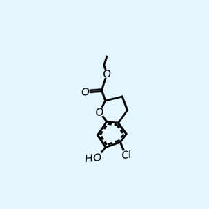 CCOC(=O)C1CCc2cc(Cl)c(O)cc2O1